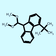 COC(OC)C1c2ccccc2-c2c1cccc2C(C)(C)C